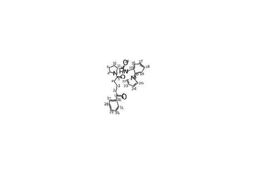 O=C(CCCC(=O)N1CCC[C@H]1C(=O)Nc1ccccc1-n1cccc1)c1ccccc1